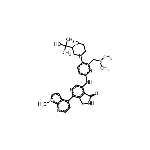 CN(C)Cc1nc(Nc2cnc(-c3ccnc4c3ccn4C)c3c2C(=O)NC3)ccc1N1CCOC(C(C)(C)O)C1